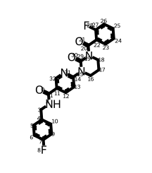 O=C(NCc1ccc(F)cc1)c1ccc(N2CCCN(C(=O)c3ccccc3F)C2=O)nc1